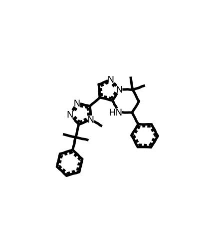 Cn1c(-c2cnn3c2NC(c2ccccc2)CC3(C)C)nnc1C(C)(C)c1ccccc1